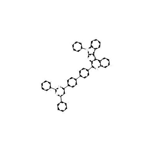 c1ccc(-c2cc(-c3ccc(-c4ccc(-c5nc6ccccc6c6c5oc5c6c6ccccc6n5-c5ccccc5)cc4)cc3)nc(-c3ccccc3)n2)cc1